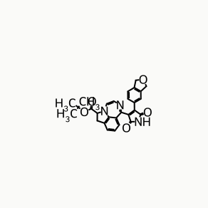 CC(C)(C)OC(=O)C1Cc2cccc3c2N1C=CN=C3C1=C(c2ccc3c(c2)COC3)C(=O)NC1=O